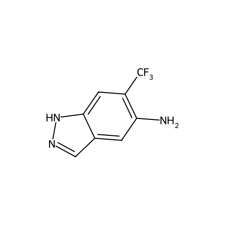 Nc1cc2cn[nH]c2cc1C(F)(F)F